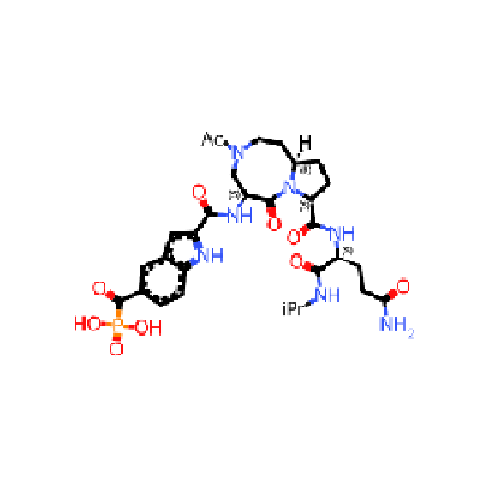 CC(=O)N1CC[C@H]2CC[C@@H](C(=O)N[C@@H](CCC(N)=O)C(=O)NC(C)C)N2C(=O)[C@@H](NC(=O)c2cc3cc(C(=O)P(=O)(O)O)ccc3[nH]2)C1